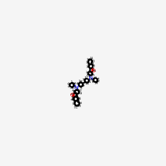 c1ccc(N(c2ccc(-c3ccc(N(c4ccccc4)c4ccc5c(c4)oc4cc6ccccc6cc45)cc3)cc2)c2ccc3c(c2)oc2cc4ccccc4cc23)cc1